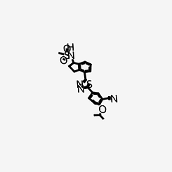 CC(C)Oc1ccc(-c2nnc(-c3cccc4c3CCC4NS(C)(=O)=O)s2)cc1C#N